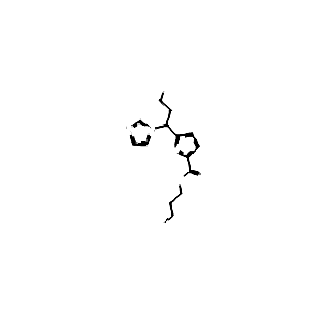 CCCCOC(=O)c1ccc(C(CCC)n2ccnc2)s1